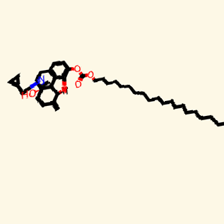 C=C1CC[C@@]2(O)C3Cc4ccc(OC(=O)OCCCCCCCCCCCCCCCCCCCC)c5c4[C@@]2(CCN3CC2CC2)[C@H]1O5